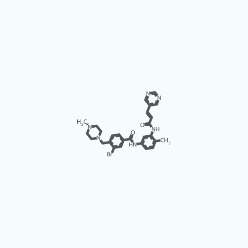 Cc1ccc(NC(=O)c2ccc(CN3CCN(C)CC3)c(Br)c2)cc1NC(=O)C=Cc1cncnc1